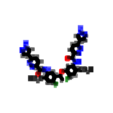 CC(Oc1cc(NC(=O)c2ccc(-c3cn[nH]c3)nn2)c(C(=O)O)cc1F)c1cc(NC(=O)c2ccc(-c3cn[nH]c3)nn2)c(C(=O)O)cc1F